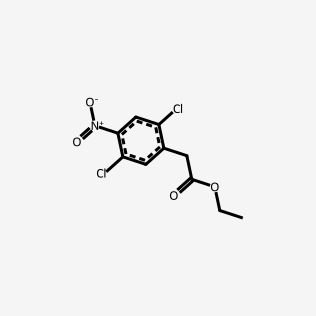 CCOC(=O)Cc1cc(Cl)c([N+](=O)[O-])cc1Cl